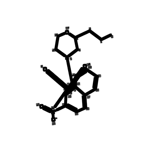 CCCC1CN(N2C(=O)CC3C([N+](=O)[O-])=CC=C4C=CC=CC43C2=O)CCO1